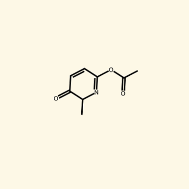 CC(=O)OC1=NC(C)C(=O)C=C1